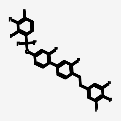 Cc1ccc(C(F)(F)Oc2ccc(-c3ccc(CCc4cc(F)c(F)c(F)c4)c(F)c3)c(F)c2)c(F)c1F